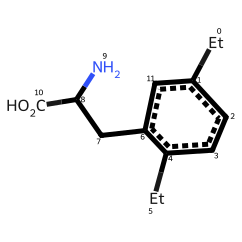 CCc1ccc(CC)c(CC(N)C(=O)O)c1